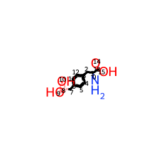 N[C@@H](Cc1ccc(CB(O)O)cc1)C(=O)O